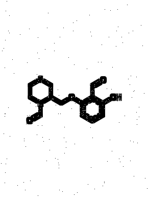 O=Cc1c(O)cccc1OCC1CSCCN1C=O